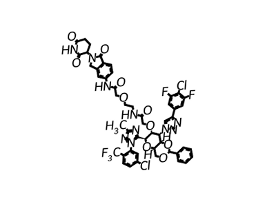 Cc1nc([C@@H]2O[C@@H]3COC(c4ccccc4)O[C@@H]3[C@H](n3cc(-c4cc(F)c(Cl)c(F)c4)nn3)[C@H]2OCC(=O)NCCOCC(=O)Nc2ccc3c(c2)CN(C2CCC(=O)NC2=O)C3=O)n(-c2cc(Cl)ccc2C(F)(F)F)n1